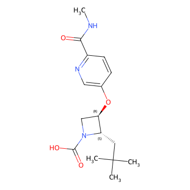 CNC(=O)c1ccc(O[C@@H]2CN(C(=O)O)[C@H]2CC(C)(C)C)cn1